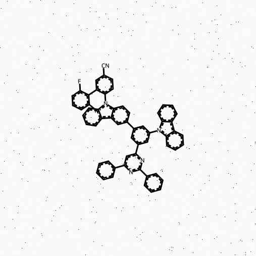 N#Cc1ccc(-n2c3ccccc3c3cc(-c4cc(-c5cc(-c6ccccc6)nc(-c6ccccc6)n5)cc(-n5c6ccccc6c6ccccc65)c4)ccc32)c(-c2c(F)cccc2F)c1